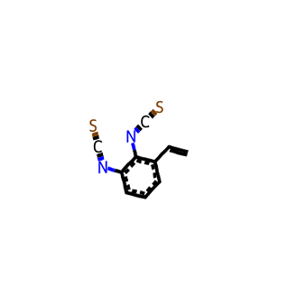 C=Cc1cccc(N=C=S)c1N=C=S